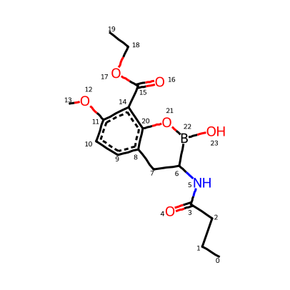 CCCC(=O)NC1Cc2ccc(OC)c(C(=O)OCC)c2OB1O